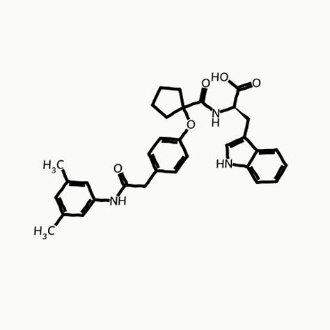 Cc1cc(C)cc(NC(=O)Cc2ccc(OC3(C(=O)N[C@H](Cc4c[nH]c5ccccc45)C(=O)O)CCCC3)cc2)c1